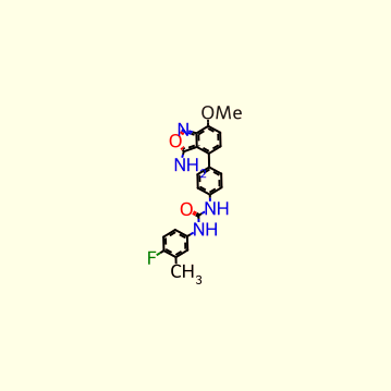 COc1ccc(-c2ccc(NC(=O)Nc3ccc(F)c(C)c3)cc2)c2c(N)onc12